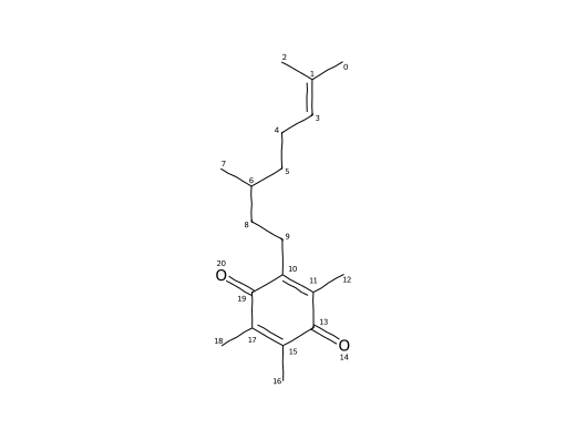 CC(C)=CCCC(C)CCC1=C(C)C(=O)C(C)=C(C)C1=O